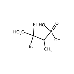 CCC(CC)(C(=O)O)C(C)P(=O)(O)O